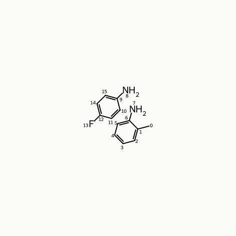 Cc1ccccc1N.Nc1ccc(F)cc1